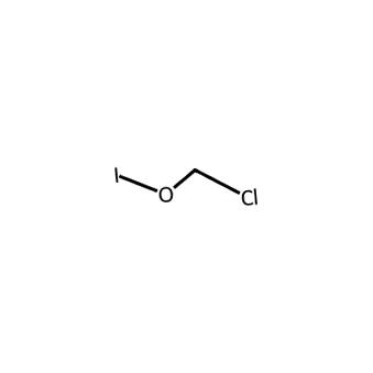 ClCOI